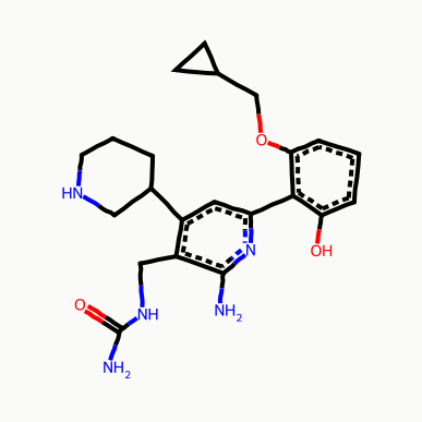 NC(=O)NCc1c(C2CCCNC2)cc(-c2c(O)cccc2OCC2CC2)nc1N